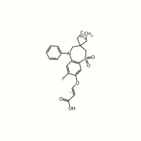 CCC1(CC)CN(c2ccccc2)c2cc(I)c(O/C=C/C(=O)O)cc2S(=O)(=O)C1